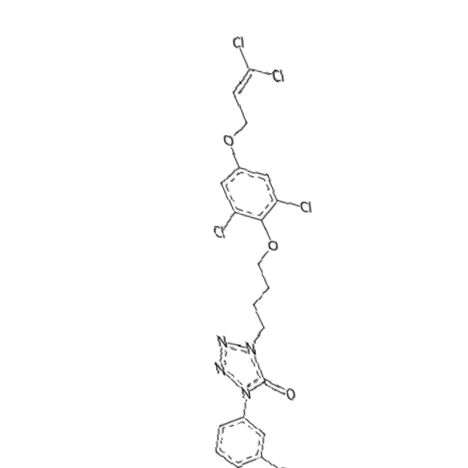 O=c1n(CCCCOc2c(Cl)cc(OCC=C(Cl)Cl)cc2Cl)nnn1-c1cccc(Cl)c1